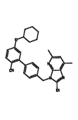 CCc1nc2c(C)cc(C)nc2n1Cc1ccc(-c2cc(OC3CCCCC3)ccc2C#N)cc1